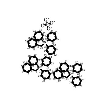 O=P([O-])([O-])[O-].c1ccc(C[P+](c2ccccc2)(c2ccccc2)c2ccccc2)cc1.c1ccc(C[P+](c2ccccc2)(c2ccccc2)c2ccccc2)cc1.c1ccc(C[P+](c2ccccc2)(c2ccccc2)c2ccccc2)cc1